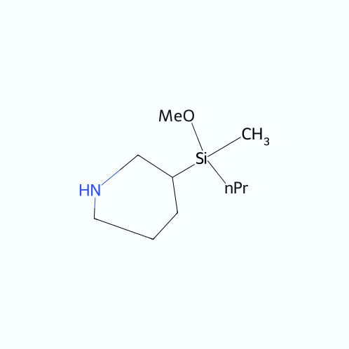 CCC[Si](C)(OC)C1CCCNC1